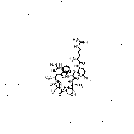 C[C@H](NC(=O)[C@H](CO)NC(=O)[C@H](C)NC(=O)[C@H](CCCNC(=N)N)NC(=O)[C@H](CCC(N)=O)NC(=O)[C@@H](N)CCCNC(=N)N)C(=O)N[C@@H](Cc1c[nH]c2ccccc12)C(=O)O